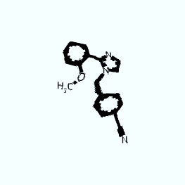 COc1ccccc1-c1nccn1Cc1ccc(C#N)cc1